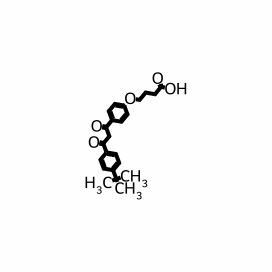 CC(C)(C)c1ccc(C(=O)CC(=O)c2ccc(OCCCC(=O)O)cc2)cc1